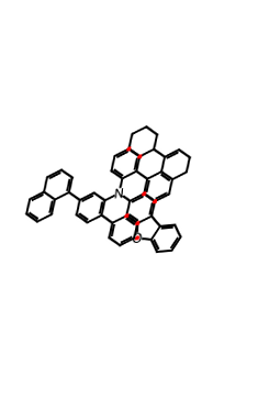 C1=C(C2CCCCC2)c2c(cccc2-c2ccccc2N(c2ccc3c(c2)oc2ccccc23)c2cc(-c3cccc4ccccc34)ccc2-c2ccccc2)CC1